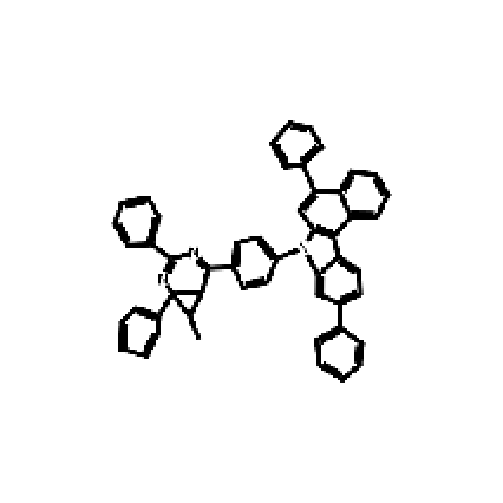 CC1C2C(c3ccc(-n4c5cc(-c6ccccc6)ccc5c5c6ccccc6c(-c6ccccc6)cc54)cc3)=NC(c3ccccc3)=NC12c1ccccc1